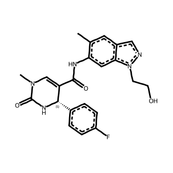 Cc1cc2cnn(CCO)c2cc1NC(=O)C1=CN(C)C(=O)N[C@H]1c1ccc(F)cc1